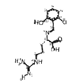 [H]/N=C(\N)NCCC[C@H](N=Cc1c(O)cccc1Cl)C(=O)O